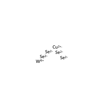 [Cu+2].[Se-2].[Se-2].[Se-2].[Se-2].[W+6]